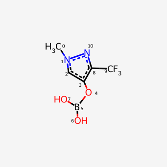 Cn1cc(OB(O)O)c(C(F)(F)F)n1